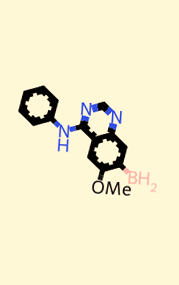 Bc1cc2ncnc(Nc3ccccc3)c2cc1OC